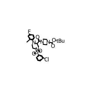 Cc1cc(F)ccc1N1CCN(S(=O)(=O)c2cccc(Cl)c2)CC1C(=O)N1CCN(C(=O)OC(C)(C)C)CC1